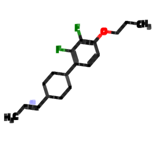 C/C=C/C1CCC(c2ccc(OCCC)c(F)c2F)CC1